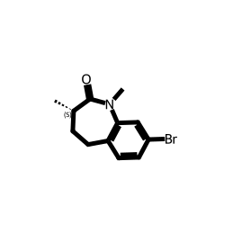 C[C@H]1CCc2ccc(Br)cc2N(C)C1=O